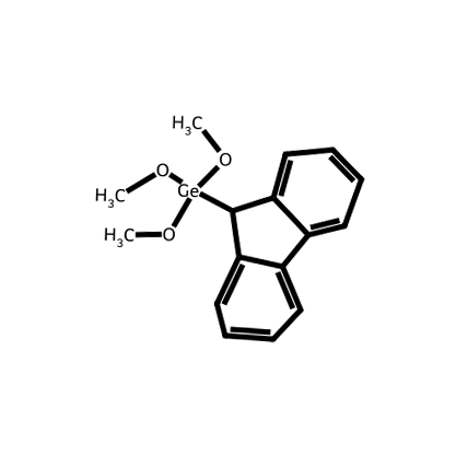 C[O][Ge]([O]C)([O]C)[CH]1c2ccccc2-c2ccccc21